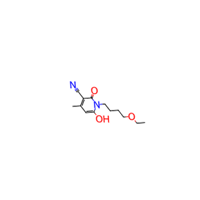 CCOCCCCn1c(O)cc(C)c(C#N)c1=O